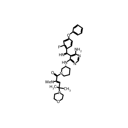 CN/C(=C\C(C)(C)N1CCOCC1)C(=O)N1CCC[C@@H](Nc2ncnc(N)c2C(=N)c2ccc(Oc3ccccc3)cc2F)C1